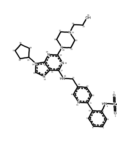 CS(=O)(=O)Nc1ccccc1-c1ccc(CNc2nc(N3CCN(CCO)CC3)nc3c2ncn3C2CCCC2)cn1